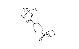 CC(C)(C)OC(=O)N1CCC(C(=O)N2C3CCC2COC3)CC1